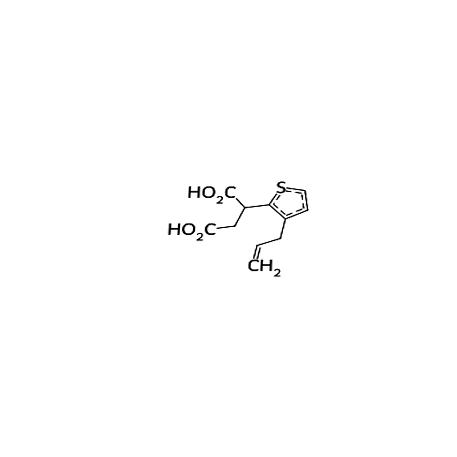 C=CCc1ccsc1C(CC(=O)O)C(=O)O